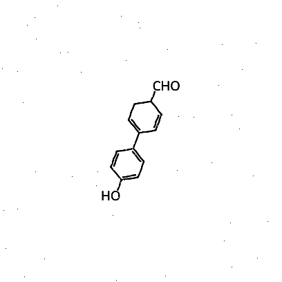 O=CC1C=CC(c2ccc(O)cc2)=CC1